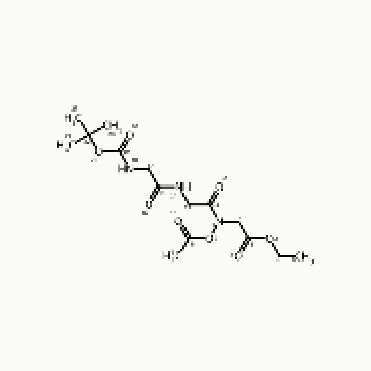 CCOC(=O)CN(OC(C)=O)C(=O)CNC(=O)CNC(=O)OC(C)(C)C